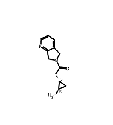 C[C@@H]1C[C@H]1CC(=O)N1Cc2cccnc2C1